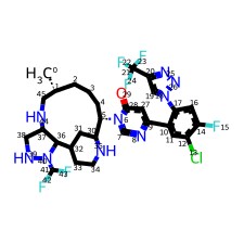 C[C@@H]1CCC[C@H](n2cnc(-c3cc(Cl)c(F)cc3-n3cc(C(F)(F)F)nn3)cc2=O)C2CC(CCN2)C2C(CNN2C(F)F)NC1